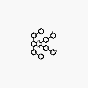 c1ccc(-c2cccc(-c3ccc(-c4cccc(-c5ccccc5)c4)c4nc(-c5ccc(-c6cccnc6)cc5)c(-c5ccc(-c6cccnc6)cc5)nc34)c2)cc1